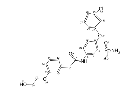 NS(=O)(=O)c1cc(NC(=O)Cc2cccc(OCCO)c2)ccc1Oc1cccc(Cl)c1